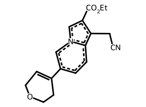 CCOC(=O)c1cn2cc(C3=CCOCC3)ccc2c1CC#N